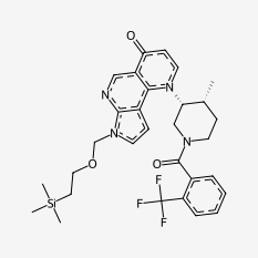 C[C@@H]1CCN(C(=O)c2ccccc2C(F)(F)F)C[C@@H]1n1ccc(=O)c2cnc3c(ccn3COCC[Si](C)(C)C)c21